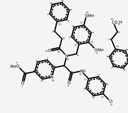 COC(=O)c1ccc(C(C(=O)Nc2ccc(Cl)cc2)N(Cc2ccc(OC)cc2OC)C(=O)CCc2ccccc2)nc1.O=C(O)CCc1ccccc1